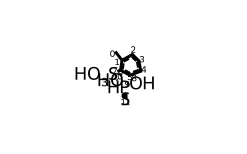 Cc1ccccc1S(=O)(=O)O.O[PH](O)=S